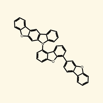 c1ccc2c(c1)oc1cc(-c3cccc4c3oc3cccc(-n5c6ccccc6c6cc7c(cc65)oc5ccccc57)c34)ccc12